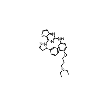 CCN(CC)CCCOc1ccc(Nc2nc(N3N=CCC3c3ccccc3)c3sccc3n2)cc1